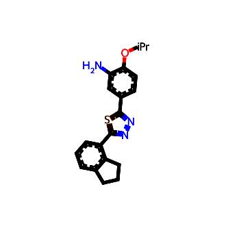 CC(C)Oc1ccc(-c2nnc(-c3cccc4c3CCC4)s2)cc1N